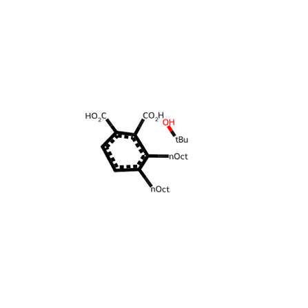 CC(C)(C)O.CCCCCCCCc1ccc(C(=O)O)c(C(=O)O)c1CCCCCCCC